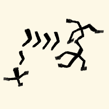 C=CC.C=CC.C=CC.C=CC.C=CC.O=P(O)(O)O.OCC(CO)(CO)COCC(CO)(CO)CO